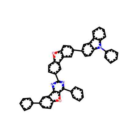 c1ccc(-c2ccc3oc4c(-c5ccccc5)nc(-c5ccc6oc7ccc(-c8ccc9c(c8)c8ccccc8n9-c8ccccc8)cc7c6c5)nc4c3c2)cc1